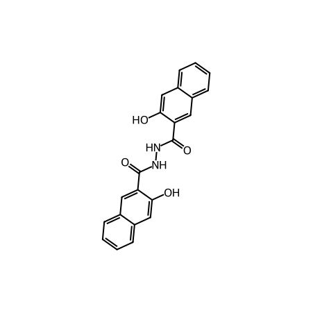 O=C(NNC(=O)c1cc2ccccc2cc1O)c1cc2ccccc2cc1O